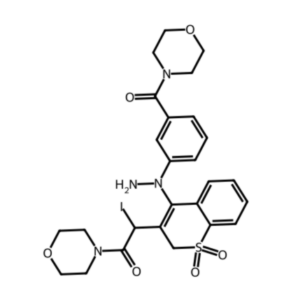 NN(C1=C(C(I)C(=O)N2CCOCC2)CS(=O)(=O)c2ccccc21)c1cccc(C(=O)N2CCOCC2)c1